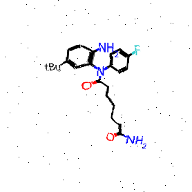 CC(C)(C)c1ccc(N)c(N(C(=O)CCCCCC(N)=O)c2ccc(F)cc2)c1